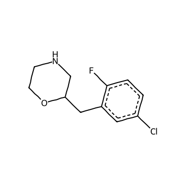 Fc1ccc(Cl)cc1CC1CNCCO1